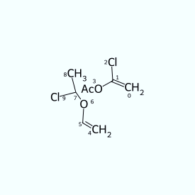 C=C(Cl)OC(C)=O.C=COC(C)Cl